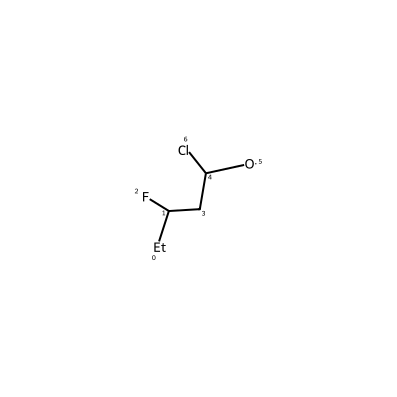 CCC(F)CC([O])Cl